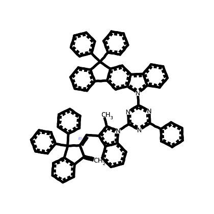 C=C1/C(=C\c2c(C)n(-c3nc(-c4ccccc4)nc(-n4c5ccccc5c5cc6c(cc54)-c4ccccc4C6(c4ccccc4)c4ccccc4)n3)c3ccccc23)C(c2ccccc2)(c2ccccc2)c2ccccc21